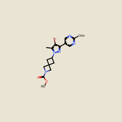 COc1ncc(-c2nn(C3CC4(C3)CN(C(=O)OC(C)(C)C)C4)c(C)c2Br)cn1